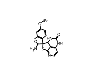 Cc1cc(OC(C)C)ccc1C1(C(N)=O)Sc2nccc3c2C1NC(=O)N3